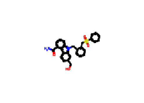 NC(=O)c1cccc2c1c1[c]cc(CO)cc1n2Cc1ccccc1CS(=O)(=O)c1ccccc1